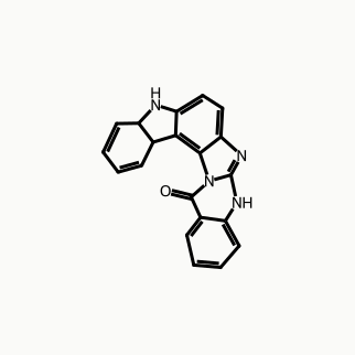 O=c1c2ccccc2[nH]c2nc3ccc4c(c3n12)C1C=CC=CC1N4